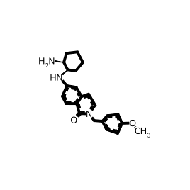 COc1ccc(Cn2ccc3cc(N[C@@H]4CCCC[C@@H]4N)ccc3c2=O)cc1